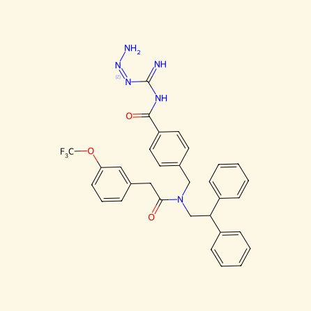 N=C(/N=N\N)NC(=O)c1ccc(CN(CC(c2ccccc2)c2ccccc2)C(=O)Cc2cccc(OC(F)(F)F)c2)cc1